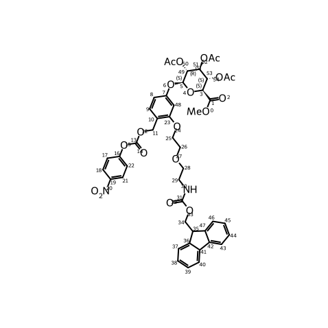 COC(=O)[C@H]1O[C@@H](Oc2ccc(COC(=O)Oc3ccc([N+](=O)[O-])cc3)c(OCCOCCNC(=O)OCC3c4ccccc4-c4ccccc43)c2)[C@H](OC(C)=O)[C@@H](OC(C)=O)[C@@H]1OC(C)=O